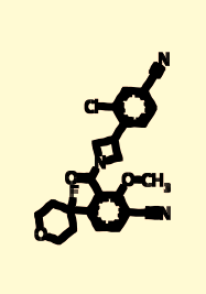 COc1c(C#N)ccc(C2(F)CCOCC2)c1C(=O)N1CC(c2ccc(C#N)cc2Cl)C1